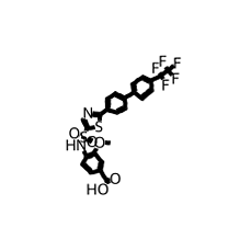 COc1cc(C(=O)O)ccc1NS(=O)(=O)c1cnc(-c2ccc(-c3ccc(C(F)(F)C(F)(F)F)cc3)cc2)s1